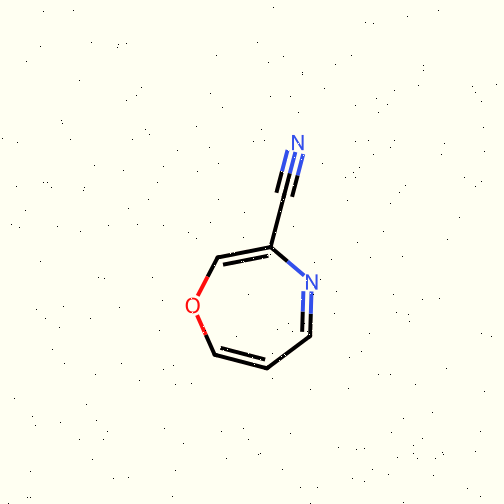 N#CC1=COC=CC=N1